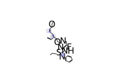 C=C/C(=C\C=C/COC)COc1ncc(F)c(N/C(=N\c2ccccc2)SCCC)n1